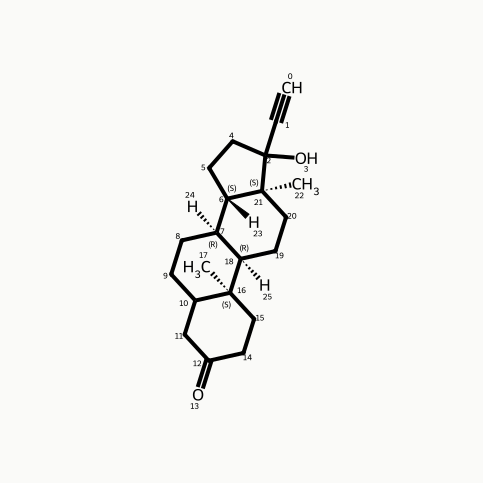 C#CC1(O)CC[C@H]2[C@@H]3CCC4CC(=O)CC[C@]4(C)[C@@H]3CC[C@@]21C